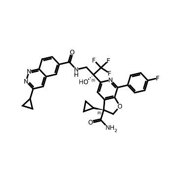 NC(=O)[C@@]1(C2CC2)COc2c1cc([C@@](O)(CNC(=O)c1ccc3nnc(C4CC4)cc3c1)C(F)(F)F)nc2-c1ccc(F)cc1